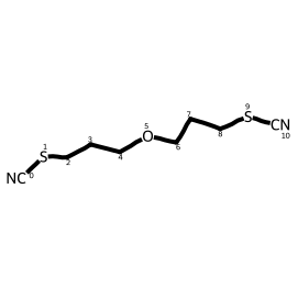 N#CSCCCOCCCSC#N